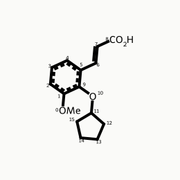 COc1cccc(/C=C/C(=O)O)c1OC1CCCC1